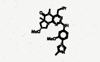 COc1cc(Nc2nc(CC(C)C)c3c(n2)N2C[C@H](OC)C[C@]2(C)C(=O)N3C)ccc1-n1cnc(C)c1